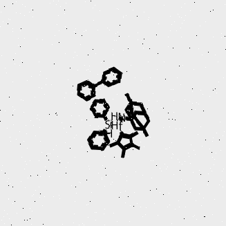 CC1=C(C)C(C)[C]([Hf]([NH]C23CC4CC(C)(CC(C)(C4)C2)C3)[SiH](c2ccccc2)c2ccccc2)=C1C.c1ccc(-c2ccccc2)cc1